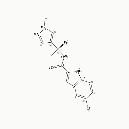 CC[C@](C)(NC(=O)c1cc2cc(Cl)ccc2[nH]1)c1cnn(C)c1